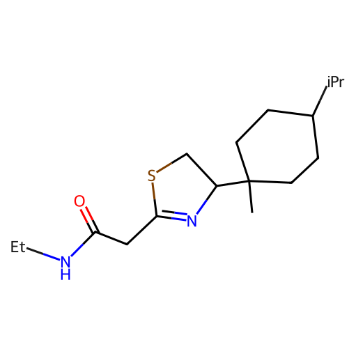 CCNC(=O)CC1=NC(C2(C)CCC(C(C)C)CC2)CS1